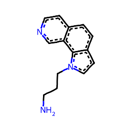 NCCCn1ccc2ccc3ccncc3c21